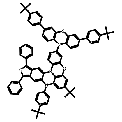 CC(C)(C)c1ccc(-c2ccc3c(c2)Sc2cc(-c4ccc(C(C)(C)C)cc4)ccc2N3c2ccc3c(c2)Oc2cc(C(C)(C)C)cc4c2B3c2cc3c(-c5ccccc5)oc(-c5ccccc5)c3cc2N4c2ccc(C(C)(C)C)cc2)cc1